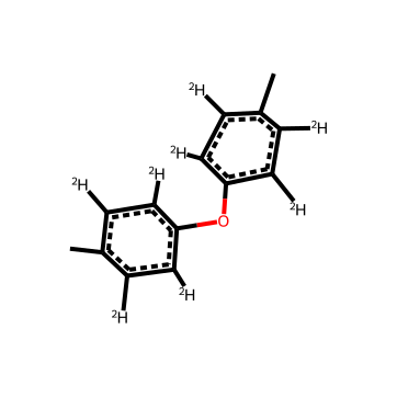 [2H]c1c([2H])c(Oc2c([2H])c([2H])c(C)c([2H])c2[2H])c([2H])c([2H])c1C